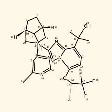 Cc1cc(N2C[C@H]3CC[C@@H](C2)C3Nc2nc3c(C(C)(C)O)ccc(O[C@@H](C)C(F)(F)F)n3n2)ncn1